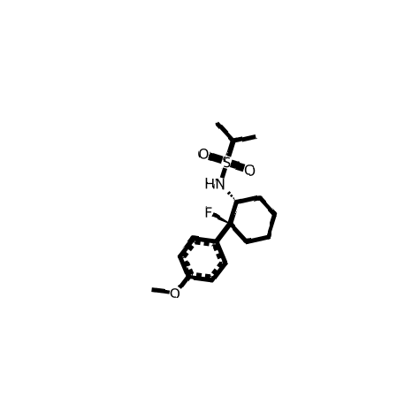 COc1ccc([C@@]2(F)CCCC[C@H]2NS(=O)(=O)C(C)C)cc1